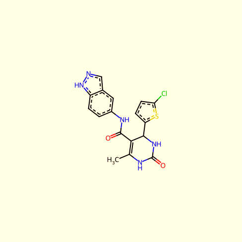 CC1=C(C(=O)Nc2ccc3[nH]ncc3c2)C(c2ccc(Cl)s2)NC(=O)N1